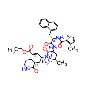 CCOC(=O)/C=C/C(C[C@@H]1CCCNC1=O)NC(=O)[C@H](CC(C)C)NC(=O)[C@H](Cc1cccc2ccccc12)NC(=O)c1sccc1C